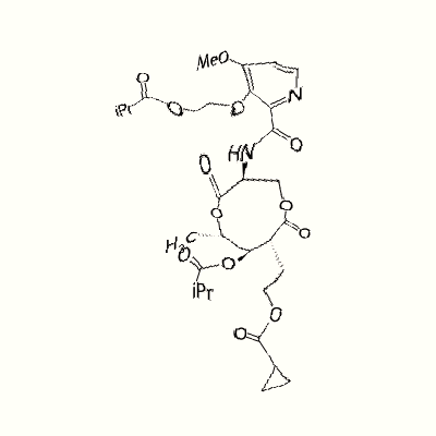 COc1ccnc(C(=O)N[C@H]2COC(=O)[C@H](CCOC(=O)C3CC3)[C@@H](OC(=O)C(C)C)[C@H](C)OC2=O)c1OCOC(=O)C(C)C